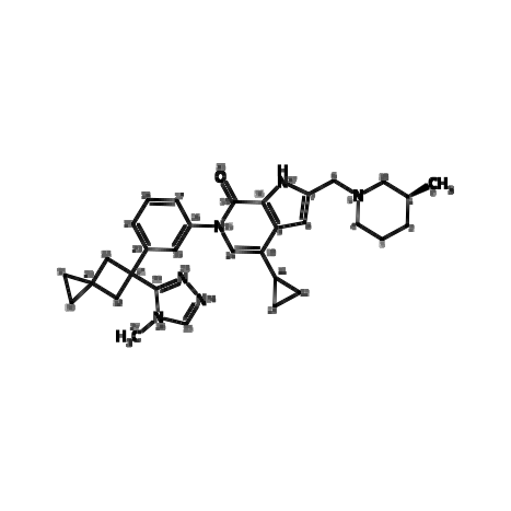 C[C@H]1CCCN(Cc2cc3c(C4CC4)cn(-c4cccc(C5(c6nncn6C)CC6(CC6)C5)c4)c(=O)c3[nH]2)C1